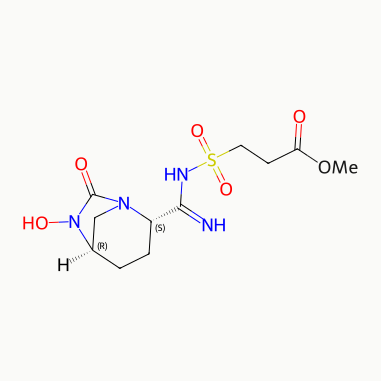 COC(=O)CCS(=O)(=O)NC(=N)[C@@H]1CC[C@@H]2CN1C(=O)N2O